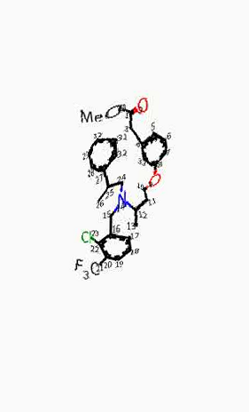 COC(=O)Cc1cccc(OCCC(C)N(Cc2cccc(C(F)(F)F)c2Cl)CC(C)c2ccccc2)c1